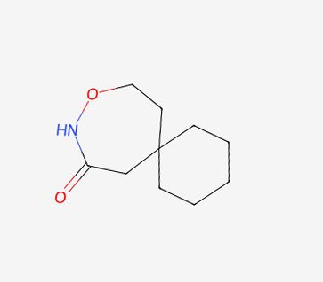 O=C1CC2(CCCCC2)CCON1